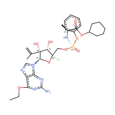 C=C(C)[C@]1(O)[C@H](n2cnc3c(OCC)nc(N)nc32)O[C@](F)(CO[P@@](=O)(N[C@@H](C)C(=O)OC2CCCCC2)Oc2ccccc2)[C@H]1O